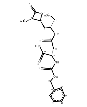 CCCCCCCCCCC[C@@H](C[C@@H]1OC(=O)[C@H]1CCCCCC)OC(=O)C[C@H](NC(=O)OCc1ccccc1)C(N)=O